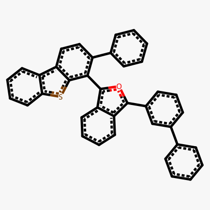 c1ccc(-c2cccc(-c3oc(-c4c(-c5ccccc5)ccc5c4sc4ccccc45)c4ccccc34)c2)cc1